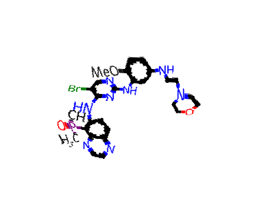 COc1ccc(NCCN2CCOCC2)cc1Nc1ncc(Br)c(Nc2ccc3nccnc3c2P(C)(C)=O)n1